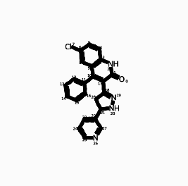 O=c1[nH]c2ccc(Cl)cc2c(-c2ccccc2)c1C1=NNC(c2cccnc2)C1